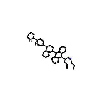 C=CCC(/C=C\CCC)c1c2ccccc2c(-c2ccc(-c3ccc(-c4ccccn4)nc3)c3ccccc23)c2ccccc12